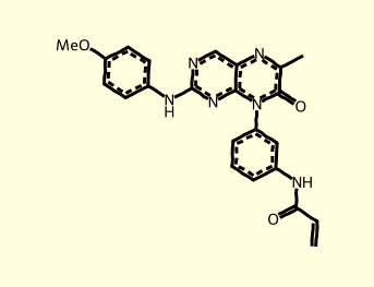 C=CC(=O)Nc1cccc(-n2c(=O)c(C)nc3cnc(Nc4ccc(OC)cc4)nc32)c1